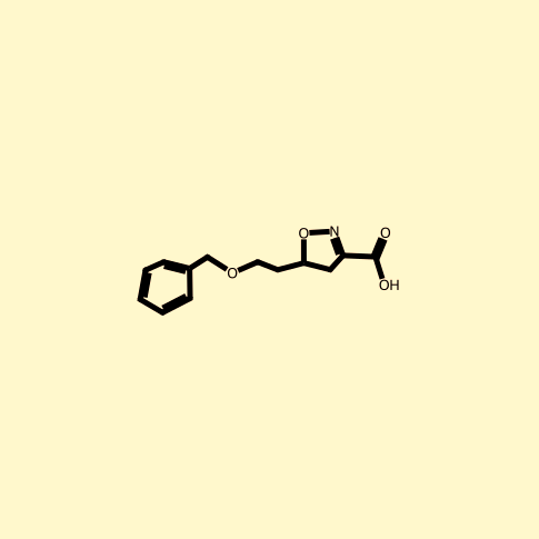 O=C(O)C1=NOC(CCOCc2ccccc2)C1